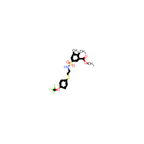 COC(=O)c1cc(S(=O)(=O)NCCSc2ccc(OC(F)(F)F)cc2)cc(C)c1C